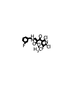 CCOC(=O)/C(=C\NCc1cccc(F)c1)C(=O)c1cc(F)c(Cl)nc1Cl